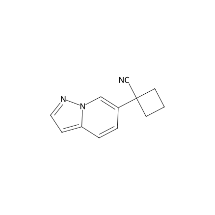 N#CC1(c2ccc3ccnn3c2)CCC1